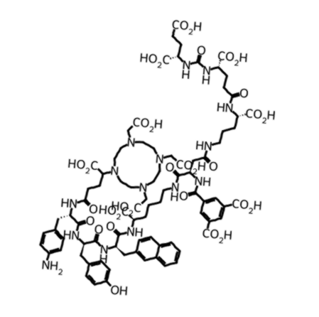 Nc1ccc(C[C@H](NC(=O)CCC(C(=O)O)N2CCN(CC(=O)O)CCN(CC(=O)O)CCN(CC(=O)O)CC2)C(=O)N[C@H](Cc2ccc(O)cc2)C(=O)N[C@H](Cc2ccc3ccccc3c2)C(=O)N[C@H](CCCCNC(=O)[C@@H](CC(=O)NCCC[C@H](NC(=O)CC[C@H](NC(=O)N[C@@H](CCC(=O)O)C(=O)O)C(=O)O)C(=O)O)NC(=O)c2cc(C(=O)O)cc(C(=O)O)c2)C(=O)O)cc1